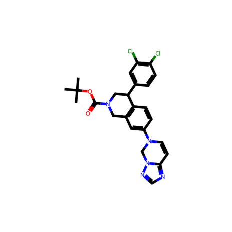 CC(C)(C)OC(=O)N1Cc2cc(N3C=Cc4ncnn4C3)ccc2C(c2ccc(Cl)c(Cl)c2)C1